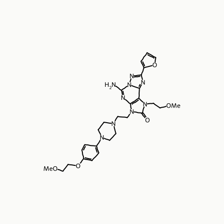 COCCOc1ccc(N2CCN(CCn3c(=O)n(CCOC)c4c3nc(N)n3nc(-c5ccco5)nc43)CC2)cc1